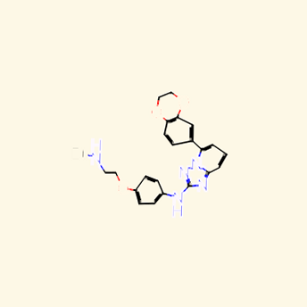 CCNCCOc1ccc(Nc2nc3cccc(-c4ccc5c(c4)OCCO5)n3n2)cc1